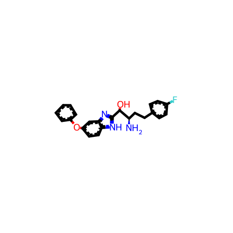 N[C@H](CCc1ccc(F)cc1)C(O)c1nc2cc(Oc3ccccc3)ccc2[nH]1